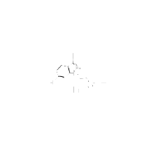 CN(C)CCn1nc(I)c2ccc(Br)cc21